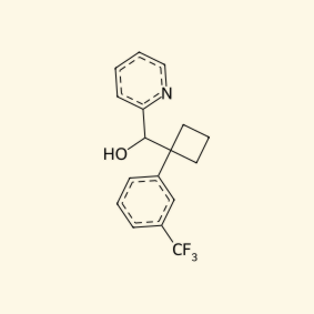 OC(c1ccccn1)C1(c2cccc(C(F)(F)F)c2)CCC1